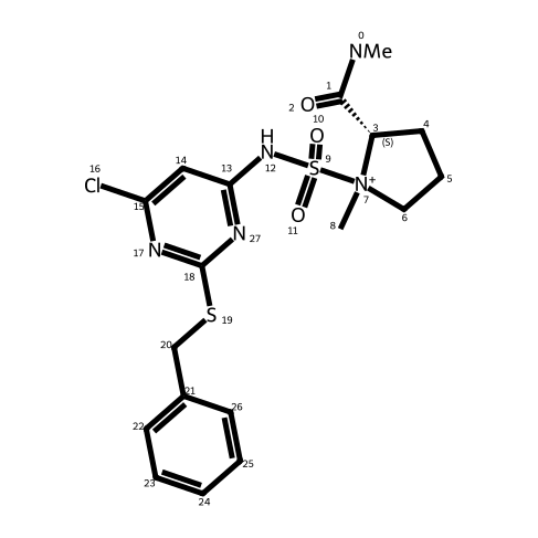 CNC(=O)[C@@H]1CCC[N+]1(C)S(=O)(=O)Nc1cc(Cl)nc(SCc2ccccc2)n1